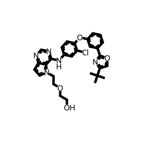 CC(C)(C)c1coc(-c2cccc(Oc3ccc(Nc4ncnc5ccn(CCOCCO)c45)cc3Cl)c2)n1